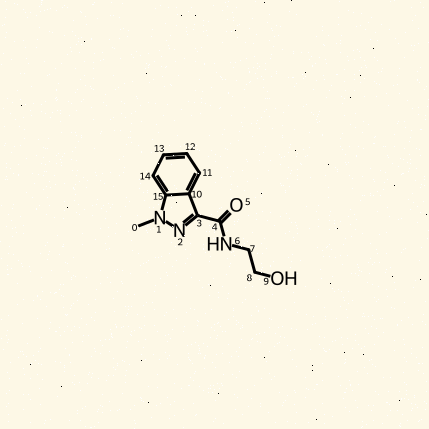 Cn1nc(C(=O)NCCO)c2ccccc21